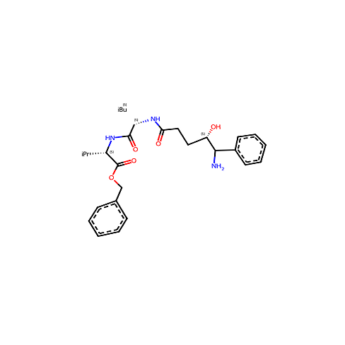 CC[C@H](C)[C@H](NC(=O)CC[C@H](O)C(N)c1ccccc1)C(=O)N[C@H](C(=O)OCc1ccccc1)C(C)C